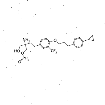 NC(CO)(CCc1ccc(OCCCc2ccc(C3CC3)cc2)c(C(F)(F)F)c1)CO[PH2]=O